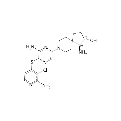 Nc1nc(N2CCC3(CC[C@H](O)[C@H]3N)CC2)cnc1Sc1ccnc(N)c1Cl